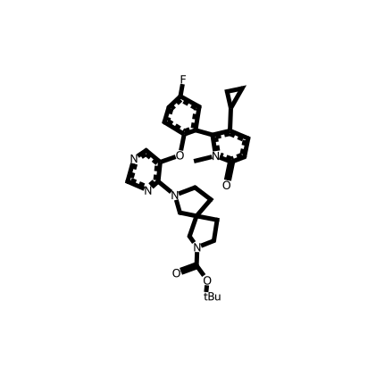 Cn1c(-c2cc(F)ccc2Oc2cncnc2N2CCC3(CCN(C(=O)OC(C)(C)C)C3)C2)c(C2CC2)ccc1=O